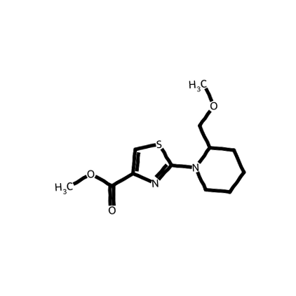 COCC1CCCCN1c1nc(C(=O)OC)cs1